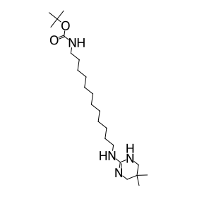 CC1(C)CN=C(NCCCCCCCCCCCCNC(=O)OC(C)(C)C)NC1